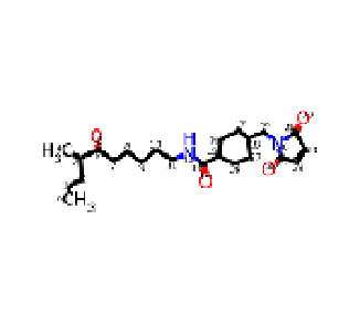 CCCC(C)C(=O)CCCCCNC(=O)C1CCC(CN2C(=O)C=CC2=O)CC1